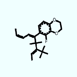 C/C=C\C=C(\c1ccc2c(c1F)OCCO2)C(C)(C)/C(=C/C)C(C)(C)C